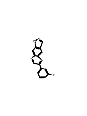 Cc1cccc(-c2cnc3cc4[nH]ncc4cc3n2)c1